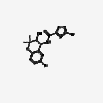 CC(=O)c1ccc2c(c1)C(NC(=O)c1ccc(Br)s1)C(O)C(C)(C)O2